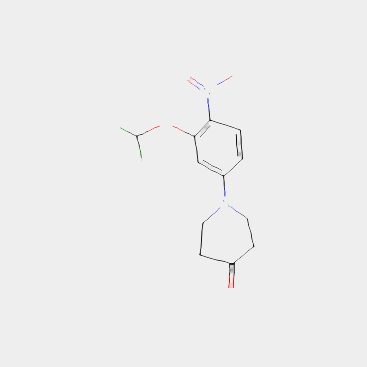 O=C1CCN(c2ccc([N+](=O)[O-])c(OC(F)F)c2)CC1